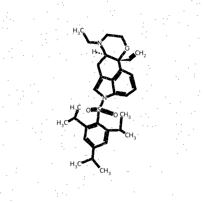 C=C[C@]12OCCN(CC)[C@@H]1Cc1cn(S(=O)(=O)c3c(C(C)C)cc(C(C)C)cc3C(C)C)c3cccc2c13